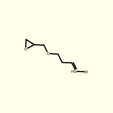 CC[SiH]=CCCOCC1CO1